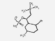 CC1CCC(C(C)C)C(C(C[N+](C)(C)C)OP(=O)([O-])S)C1